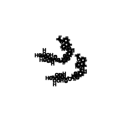 O=C(COC1CN(S(=O)(=O)c2ccc(Cl)c(COC3(c4cnccc4-c4ccccc4OC4CC4)CC3)c2)C1)NC[C@H](O)[C@@H](O)[C@H](O)[C@H](O)CO.O=C(COCC1CCN(S(=O)(=O)c2ccc(Cl)c(COC3(c4cnccc4-c4ccccc4OC4CC4)CC3)c2)C1)NC[C@H](O)[C@@H](O)[C@H](O)[C@H](O)CO